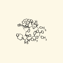 CC(=O)O[C@@H](C)C(=O)O[C@@H](C)C(=O)O[C@@H](C)C(=O)O[C@@H](C)C(=O)O[C@@H](CNC(C)(C)C)COc1nsnc1N1CCOCC1.O=C(O)/C=C\C(=O)O